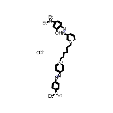 CCN(CC)c1ccc(/N=N/c2cc[n+](CCCCCC[n+]3cccc(/N=N/c4ccc(N(CC)CC)cc4O)c3)cc2)cc1.[Cl-].[Cl-]